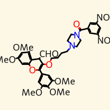 COc1cc(OC)c2c(c1)OC(c1cc(OC)c(OC)c(OC)c1)=C(OCCCCN1CCN(C(=O)c3cc([N+](=O)[O-])cc([N+](=O)[O-])c3)CC1)C2C=O